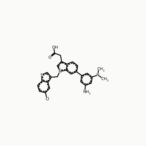 CN(C)c1cc(N)cc(-c2ccc3c(CC(=O)O)cn(Cc4csc5ccc(Cl)cc45)c3c2)c1